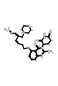 C=N/C=C(\C=C/CCSc1cccc2nc(C)n(C3CCC(=O)NC3=O)c(=O)c12)CN1CCOCC1